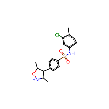 Cc1ccc(NS(=O)(=O)c2ccc(C3C(C)NOC3C)cc2)cc1Cl